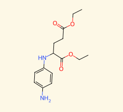 CCOC(=O)CCC(Nc1ccc(N)cc1)C(=O)OCC